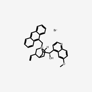 C=CC1C[N+]2(Cc3c4ccccc4cc4ccccc34)CCC1C[C@H]2[C@H](O)c1ccnc2ccc(OC)cc12.[Br-]